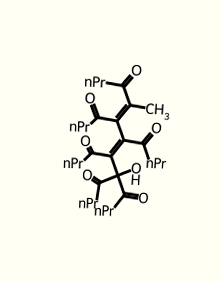 CCCC(=O)C(C)=C(C(=O)CCC)C(C(=O)CCC)=C(C(=O)CCC)C(O)(C(=O)CCC)C(=O)CCC